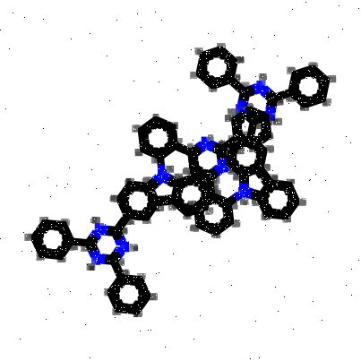 c1ccc(-c2nc(-c3ccccc3-n3c4ccccc4c4cc(-c5nc(-c6ccccc6)nc(-c6ccccc6)n5)ccc43)cc(-c3ccccc3-n3c4ccccc4c4cc(-c5nc(-c6ccccc6)nc(-c6ccccc6)n5)ccc43)n2)cc1